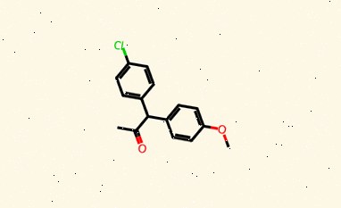 COc1ccc(C(C(C)=O)c2ccc(Cl)cc2)cc1